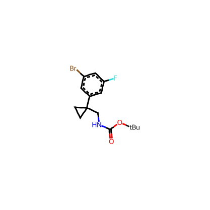 CC(C)(C)OC(=O)NCC1(c2cc(F)cc(Br)c2)CC1